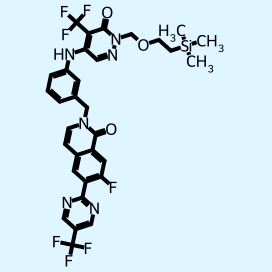 C[Si](C)(C)CCOCn1ncc(Nc2cccc(Cn3ccc4cc(-c5ncc(C(F)(F)F)cn5)c(F)cc4c3=O)c2)c(C(F)(F)F)c1=O